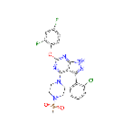 CS(=O)(=O)N1CCN(c2nc(Oc3ccc(F)cc3F)nc3[nH]nc(-c4ccccc4Cl)c23)CC1